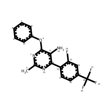 Cc1nc(Oc2ccccc2)c(N)c(-c2ccc(C(F)(F)F)cc2F)n1